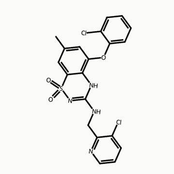 Cc1cc(Oc2ccccc2Cl)c2c(c1)S(=O)(=O)N=C(NCc1ncccc1Cl)N2